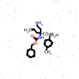 C=CC[C@@](CCN)(NC(=O)OCc1ccccc1)C(=O)O.Cc1ccc(S(=O)(=O)O)cc1